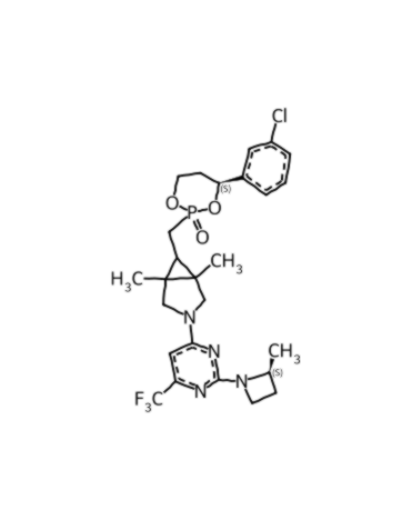 C[C@H]1CCN1c1nc(N2CC3(C)C(CP4(=O)OCC[C@@H](c5cccc(Cl)c5)O4)C3(C)C2)cc(C(F)(F)F)n1